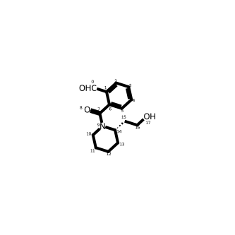 O=Cc1ccccc1C(=O)N1CCCC[C@H]1CCO